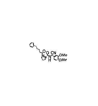 COc1ccc(C(C#N)NC(=O)[C@@H]2CCCN2C(=O)CCCCc2ccccc2)cc1OC